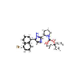 CC(C)(C)OC(=O)N1CCC[C@@H]1c1ncc(-c2cccc3c(Br)cccc23)[nH]1